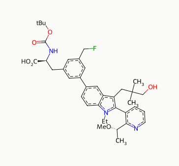 CCn1c(-c2cccnc2[C@H](C)OC)c(CC(C)(C)CO)c2cc(-c3cc(CF)cc(C[C@H](NC(=O)OC(C)(C)C)C(=O)O)c3)ccc21